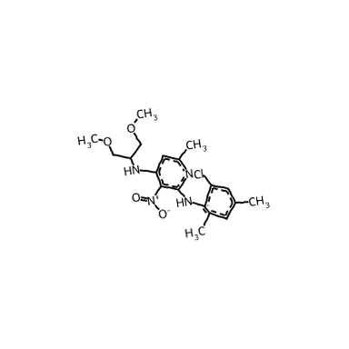 COCC(COC)Nc1cc(C)nc(Nc2c(C)cc(C)cc2Cl)c1[N+](=O)[O-]